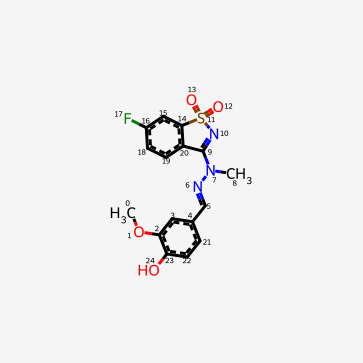 COc1cc(C=NN(C)C2=NS(=O)(=O)c3cc(F)ccc32)ccc1O